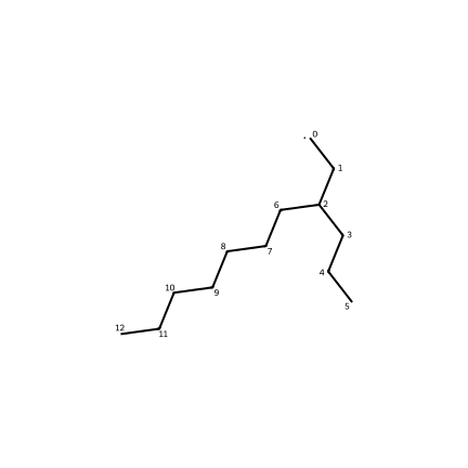 [CH2]CC(CCC)CCCCCCC